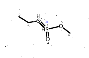 CC/[SH]=[SH](=O)/OC